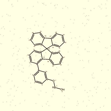 OBOc1cccc(-c2cccc3c2-c2ccccc2C32c3ccccc3-c3ccccc32)c1